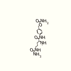 CNC(CCCNC(N)=O)C(=O)Nc1ccc(COC(N)=O)cc1